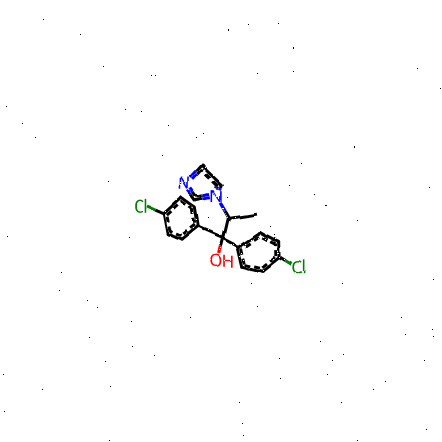 CC(n1ccnc1)C(O)(c1ccc(Cl)cc1)c1ccc(Cl)cc1